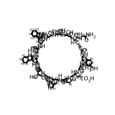 CCCC[C@H]1C(=O)N(C)[C@@H](CCCC)C(=O)N[C@@H](C)C(=O)N[C@H](C(=O)NCC(N)=O)CSCC(=O)N[C@@H](Cc2ccc(O)cc2)C(=O)N(C)[C@@H](C)C(=O)N[C@@H](CCC(=O)O)C(=O)N2CCC[C@H]2C(=O)N[C@@H](Cc2cnc[nH]2)C(=O)N[C@@H](CC(C)C)C(=O)N2C[C@H](O)C[C@H]2C(=O)N[C@@H](Cc2c[nH]c3ccccc23)C(=O)N[C@@H](CO)C(=O)N[C@@H](Cc2c[nH]c3ccccc23)C(=O)N1C